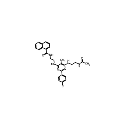 CC(=O)NCCNc1nc(-c2ccc(Cl)cc2)nc(NCCNC(=O)c2cccc3ccccc23)c1C